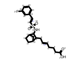 O=C(O)CCC/C=C/CC1C2CCC(C2)C1NS(=O)(=O)/C=C/c1cccc(F)c1